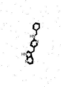 C1=CCC(CNc2ccc(Cc3c[nH]c4ncccc34)cn2)C=C1